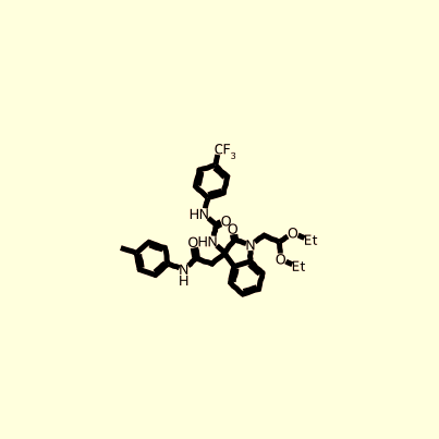 CCOC(CN1C(=O)C(CC(=O)Nc2ccc(C)cc2)(NC(=O)Nc2ccc(C(F)(F)F)cc2)c2ccccc21)OCC